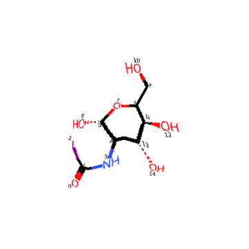 O=C(I)NC1[C@H](O)OC(CO)[C@@H](O)[C@@H]1O